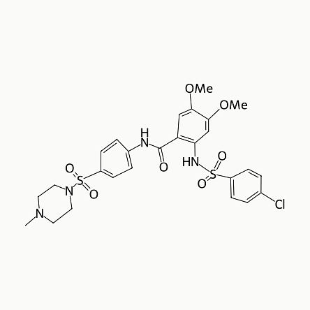 COc1cc(NS(=O)(=O)c2ccc(Cl)cc2)c(C(=O)Nc2ccc(S(=O)(=O)N3CCN(C)CC3)cc2)cc1OC